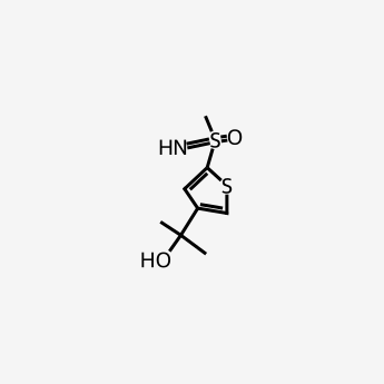 CC(C)(O)c1csc(S(C)(=N)=O)c1